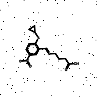 O=C(O)CCC/N=C/c1cc([N+](=O)[O-])ccc1SC1CC1